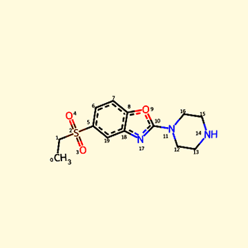 CCS(=O)(=O)c1ccc2oc(N3CCNCC3)nc2c1